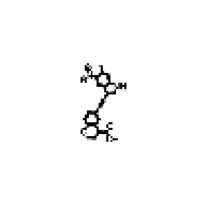 COC(=O)C1CCOc2ccc(C#Cc3c[nH]c4cc(C)c([N+](=O)[O-])cc34)cc21